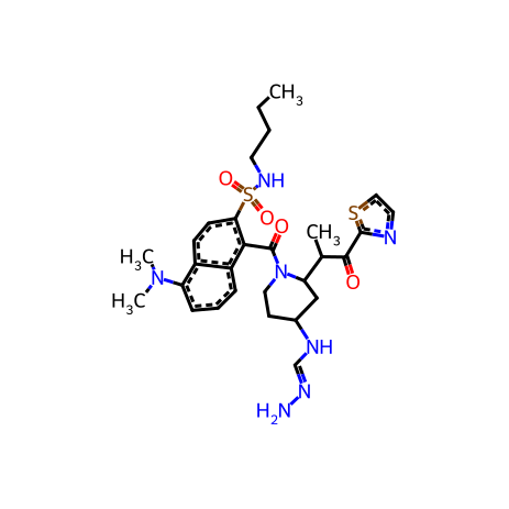 CCCCNS(=O)(=O)c1ccc2c(N(C)C)cccc2c1C(=O)N1CCC(NC=NN)CC1C(C)C(=O)c1nccs1